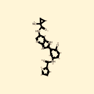 N#CC1(C(=O)Nc2cnc3nc(-c4cc(NC(=O)c5ccco5)ccc4Cl)[nH]c3c2)CC1